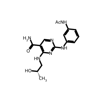 CC(=O)Nc1cccc(Nc2ncc(C(N)=O)c(NC[C@H](C)O)n2)c1